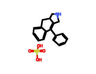 O=S(=O)(O)O.c1ccc(C2=C3CNCC3Cc3ccccc32)cc1